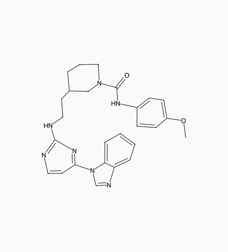 COc1ccc(NC(=O)N2CCCC(CCNc3nccc(-n4cnc5ccccc54)n3)C2)cc1